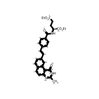 CCOC(=O)CC[C@H](NC(=O)c1ccc(/C=C/c2ccc3ccc4nc(C)[nH]c(=O)c4c3c2)cc1)C(=O)OCC